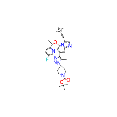 Cc1c(-c2cc(OC(C)c3ccc(F)cn3)n3c(C#C[Si](C)(C)C)cnc3c2)nnn1C1CCN(C(=O)OC(C)(C)C)CC1